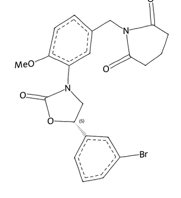 COc1ccc(CN2C(=O)CCCC2=O)cc1N1C[C@H](c2cccc(Br)c2)OC1=O